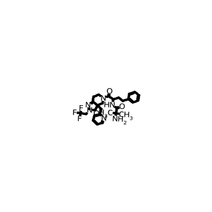 CC(C)(N)C(=O)NC(CCc1ccccc1)C(=O)N1CCC2=NN(CC(F)(F)F)C(=O)C2(Cc2ccccn2)C1